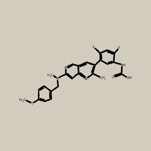 COc1ccc(CN(C)c2cc3nc(C)c(-c4cc(NC(=O)O)c(F)cc4F)cc3cn2)cc1